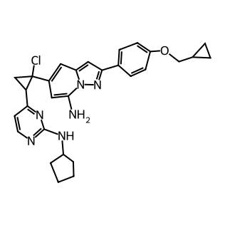 Nc1cc(C2(Cl)CC2c2ccnc(NC3CCCC3)n2)cc2cc(-c3ccc(OCC4CC4)cc3)nn12